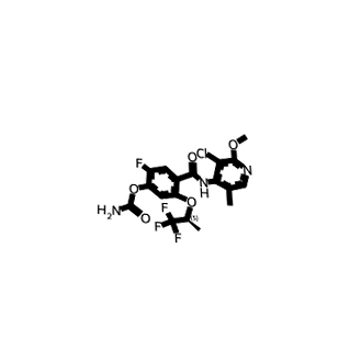 COc1ncc(C)c(NC(=O)c2cc(F)c(OC(N)=O)cc2O[C@@H](C)C(F)(F)F)c1Cl